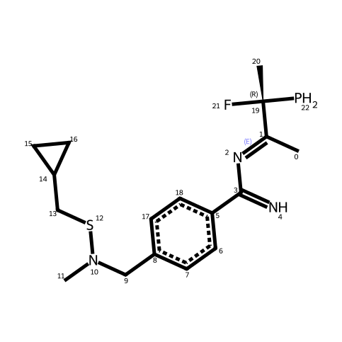 C/C(=N\C(=N)c1ccc(CN(C)SCC2CC2)cc1)[C@](C)(F)P